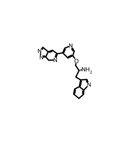 N[C@H](COc1cncc(C2=NCC3=NN=CC3=C2)c1)CC1=C2C=CCC=C2N=C1